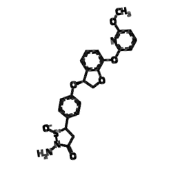 COc1cccc(Oc2cccc3c2OC[C@H]3Oc2ccc(C3CC(=O)N(N)[S+]3[O-])cc2)n1